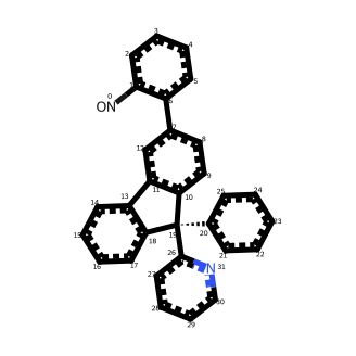 O=Nc1ccccc1-c1ccc2c(c1)-c1ccccc1[C@]2(c1ccccc1)c1ccccn1